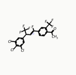 CC(=O)c1ccc(/C(F)=C/C(c2cc(Cl)c(Cl)c(Cl)c2)C(F)(F)F)cc1C(F)(F)F